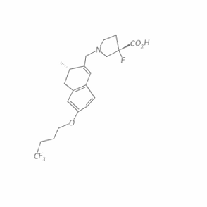 C[C@H]1Cc2cc(OCCCC(F)(F)F)ccc2C=C1CN1CC[C@@](F)(C(=O)O)C1